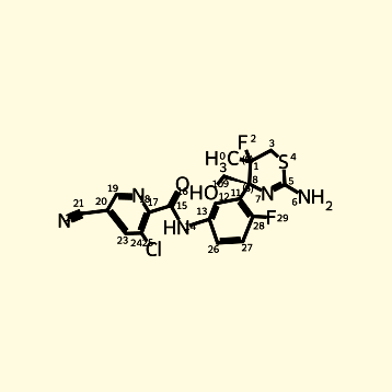 C[C@@]1(F)CSC(N)=N[C@]1(CO)c1cc(NC(=O)c2ncc(C#N)cc2Cl)ccc1F